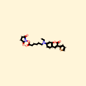 CCN(CCCCCC(=O)ON1C(=O)CCC1=O)c1ccc2cc(-c3cccs3)c(=O)oc2c1